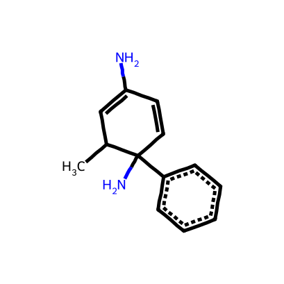 CC1C=C(N)C=CC1(N)c1ccccc1